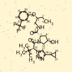 CCC(CNC(=O)[C@@H]1C[C@@H](O)CN1C(=O)[C@@H](n1cc(C2CC2)nn1)C(C)(C)C)Oc1cccc(C(F)(F)F)c1